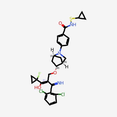 N=C(/C(CO[C@@H]1C[C@@H]2C[C@H]1CN2c1ccc(C(=O)NSC2CC2)cc1)=C(\O)C1(F)CC1)c1c(Cl)cccc1Cl